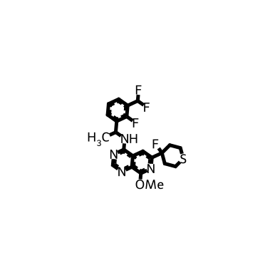 COc1nc(C2(F)CCSCC2)cc2c(NC(C)c3cccc(C(F)F)c3F)ncnc12